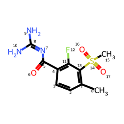 Cc1ccc(C(=O)N=C(N)N)c(F)c1S(C)(=O)=O